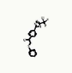 O=C(CSc1ccccc1)c1ccc(-c2noc(C(F)(F)Cl)n2)cc1